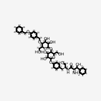 CC(c1ccccc1)[C@H](N)C(=O)N[C@H]([C]=O)Cc1ccc(OC2OC(CO)C(OC3OC(CO)C(OCc4ccc(OCc5ccccc5)cc4)C(O)C3O)C(O)C2O)cc1